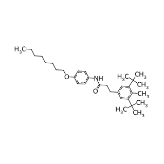 CCCCCCCCOc1ccc(NC(=O)CCc2cc(C(C)(C)C)c(C)c(C(C)(C)C)c2)cc1